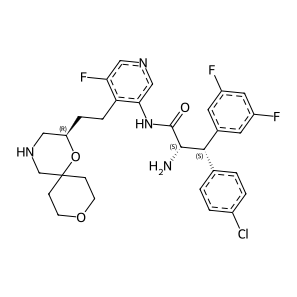 N[C@H](C(=O)Nc1cncc(F)c1CC[C@@H]1CNCC2(CCOCC2)O1)[C@@H](c1ccc(Cl)cc1)c1cc(F)cc(F)c1